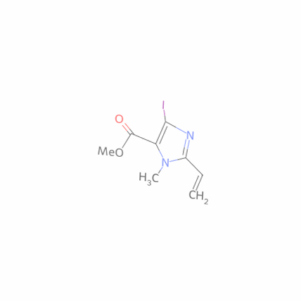 C=Cc1nc(I)c(C(=O)OC)n1C